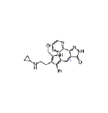 CC(C)c1c(/C=C2/C(=O)NN=C2c2cnccn2)[nH]c(CO)c1CCNC1CC1